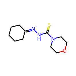 S=C(NN=C1CCCCC1)N1CCOCC1